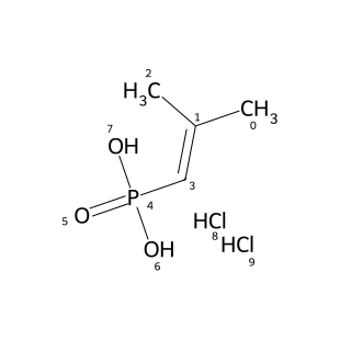 CC(C)=CP(=O)(O)O.Cl.Cl